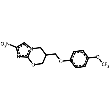 O=[N+]([O-])c1cn2c(n1)OCC(COc1ccc(OC(F)(F)F)cc1)C2